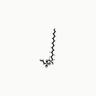 CCCCCCCCCCCCCC[N+](C)(C)OS(=O)(=O)CCC